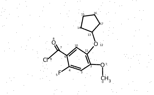 COc1cc(F)c(C(=O)Cl)cc1OC1CCCC1